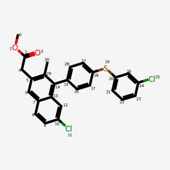 COC(=O)Cc1cc2ccc(Cl)cc2c(-c2ccc(Sc3cccc(Cl)c3)cc2)c1C